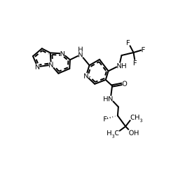 CC(C)(O)[C@H](F)CNC(=O)c1cnc(Nc2ccn3nccc3n2)cc1NCC(F)(F)F